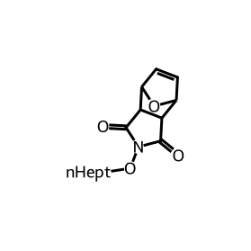 CCCCCCCON1C(=O)C2C3C=CC(O3)C2C1=O